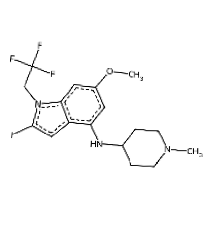 COc1cc(NC2CCN(C)CC2)c2cc(I)n(CC(F)(F)F)c2c1